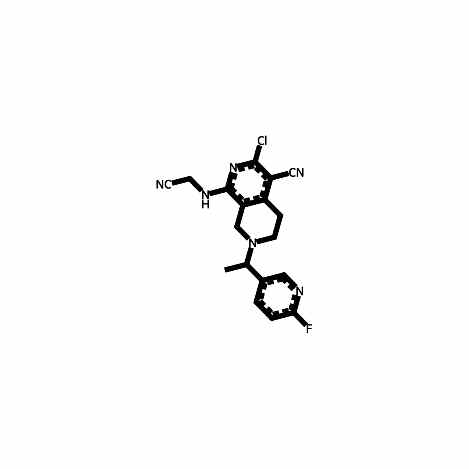 CC(c1ccc(F)nc1)N1CCc2c(C#N)c(Cl)nc(NCC#N)c2C1